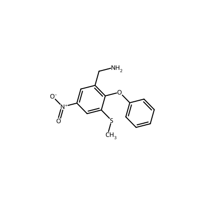 CSc1cc([N+](=O)[O-])cc(CN)c1Oc1ccccc1